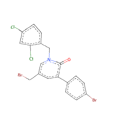 O=c1c(-c2ccc(Br)cc2)cc(CBr)cn1Cc1ccc(Cl)cc1Cl